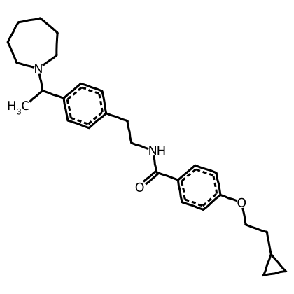 CC(c1ccc(CCNC(=O)c2ccc(OCCC3CC3)cc2)cc1)N1CCCCCC1